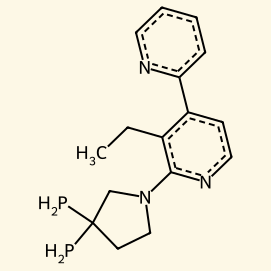 CCc1c(-c2ccccn2)ccnc1N1CCC(P)(P)C1